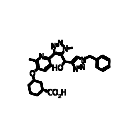 Cc1nc(-c2nnn(C)c2C(O)c2cn(Cc3ccccc3)nn2)ccc1OC1CCCC(C(=O)O)C1